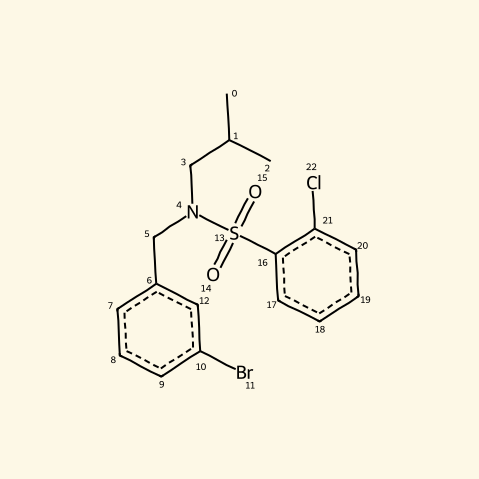 CC(C)CN(Cc1cccc(Br)c1)S(=O)(=O)c1ccccc1Cl